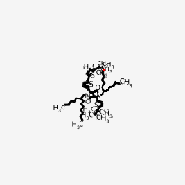 CCCCCCCCC(CCCCCC)CN1C(=O)C2=C(c3ccc(C(C)(C)C(C)C)s3)N(CC(CCCCCC)CCCCCCCC)C(=O)C2=C1c1ccc(-c2ccc(C(C)(C)C(C)C)s2)s1